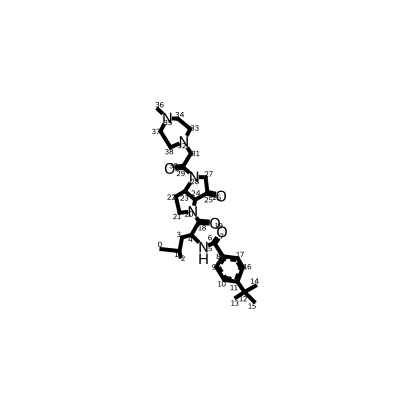 CC(C)CC(NC(=O)c1ccc(C(C)(C)C)cc1)C(=O)N1CCC2C1C(=O)CN2C(=O)CN1CCN(C)CC1